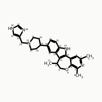 Cc1cc2c(c(C)n1)OCC(C)c1c-2[nH]c2ccc(C3CCN(Cc4c[nH]cn4)CC3)cc12